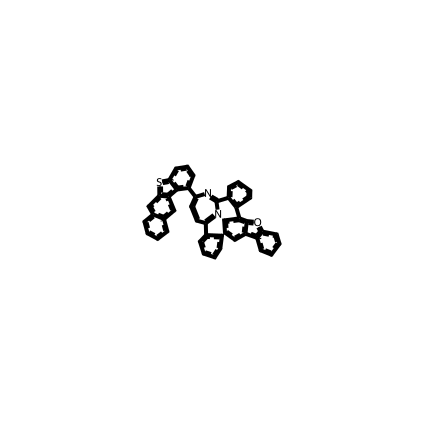 C1=CC(c2ccccc2)=NC(c2ccccc2-c2cccc3c2oc2ccccc23)=NC=1c1cccc2sc3cc4ccccc4cc3c12